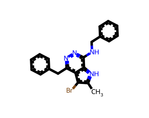 Cc1[nH]c2c(NCc3ccccc3)nnc(Cc3ccccc3)c2c1Br